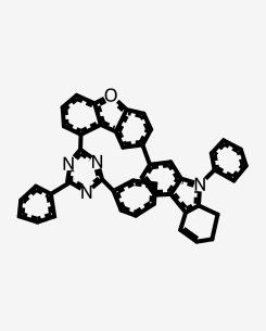 C1=Cc2c(n(-c3ccccc3)c3cc(-c4ccc5oc6cccc(-c7nc(-c8ccccc8)nc(-c8ccccc8)n7)c6c5c4)ccc23)CC1